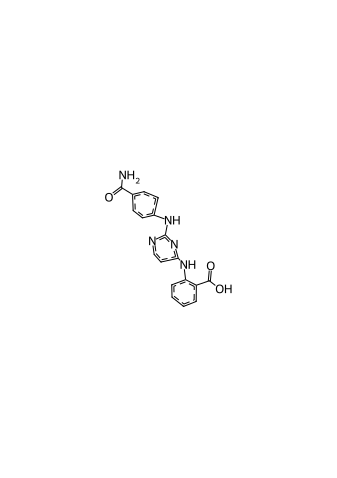 NC(=O)c1ccc(Nc2nccc(Nc3ccccc3C(=O)O)n2)cc1